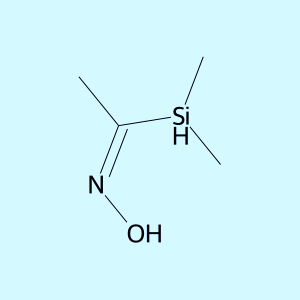 CC(=NO)[SiH](C)C